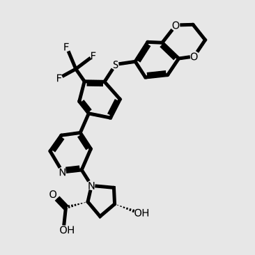 O=C(O)[C@H]1C[C@@H](O)CN1c1cc(-c2ccc(Sc3ccc4c(c3)OCCO4)c(C(F)(F)F)c2)ccn1